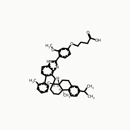 COc1cc(OCCCC(=O)O)ccc1-c1nc2c(C[C@@]3(C)CCC[C@]4(C)c5ccc(C(C)C)cc5CC[C@@H]34)c(-c3ccccc3C)ccc2[nH]1